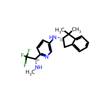 CN[C@@H](c1ccc(N[C@H]2Cc3ccccc3C2(C)C)cn1)C(F)(F)F